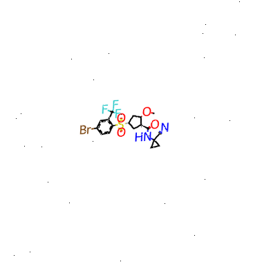 CO[C@H]1C[C@@H](S(=O)(=O)c2ccc(Br)cc2C(F)(F)F)C[C@@H]1C(=O)NC1(C#N)CC1